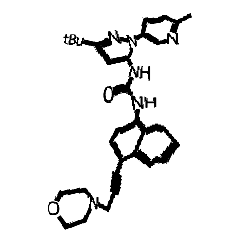 Cc1ccc(-n2nc(C(C)(C)C)cc2NC(=O)Nc2ccc(C#CCN3CCOCC3)c3ccccc23)cn1